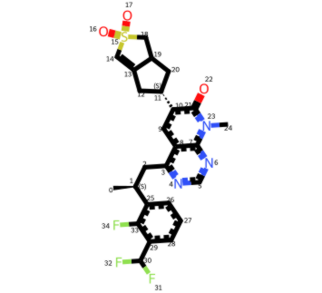 C[C@@H](Cc1ncnc2c1cc([C@@H]1CC3=CS(=O)(=O)CC3C1)c(=O)n2C)c1cccc(C(F)F)c1F